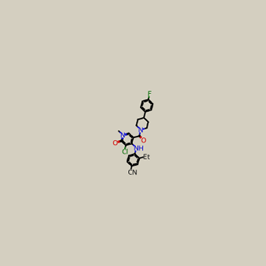 CCc1cc(C#N)ccc1Nc1c(C(=O)N2CCC(c3ccc(F)cc3)CC2)cn(C)c(=O)c1Cl